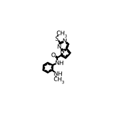 CNc1ccccc1NC(=O)c1ccc2cnc(SC)nn12